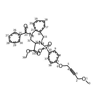 COCC#CCOc1ccc(S(=O)(=O)N2Cc3ccccc3N(C(=O)c3ccccc3)CC2C(=O)OC)cc1